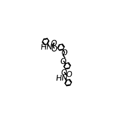 O=C(Nc1ccccc1)Oc1cccc(OCCOc2cccc(OC(=O)Nc3ccccc3)c2)c1